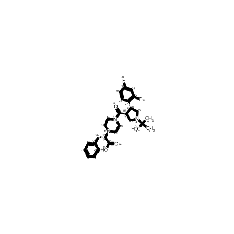 CC(C)(C)N1C[C@@H](C(=O)N2CCN([C@@H](Cc3ccccc3)C(=O)O)CC2)[C@H](c2ccc(F)cc2F)C1